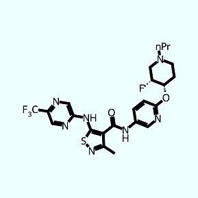 CCCN1CC[C@H](Oc2ccc(NC(=O)c3c(C)nsc3Nc3cnc(C(F)(F)F)cn3)cn2)[C@H](F)C1